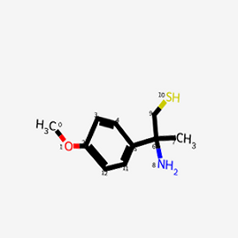 COc1ccc(C(C)(N)CS)cc1